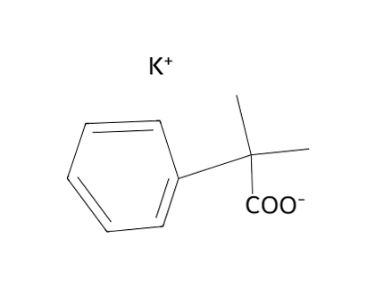 CC(C)(C(=O)[O-])c1ccccc1.[K+]